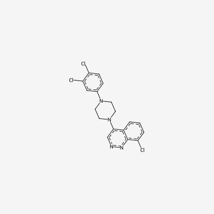 Clc1ccc(N2CCN(c3cnnc4c(Cl)cccc34)CC2)cc1Cl